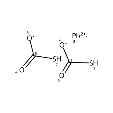 O=C([O-])S.O=C([O-])S.[Pb+2]